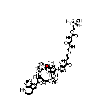 CC(C)(C)[Si](C)(C)CO[C@H]1[C@H]2OP(=O)(O)OC[C@H]3O[C@@H](n4cc5c6c(ncnc64)NCCC5)[C@H](F)[C@@H]3OP(=O)(S)OC[C@H]1O[C@H]2n1cnc2c(=O)n(CCOCNC(=O)CNC(=O)OCC[Si](C)(C)C)cnc21